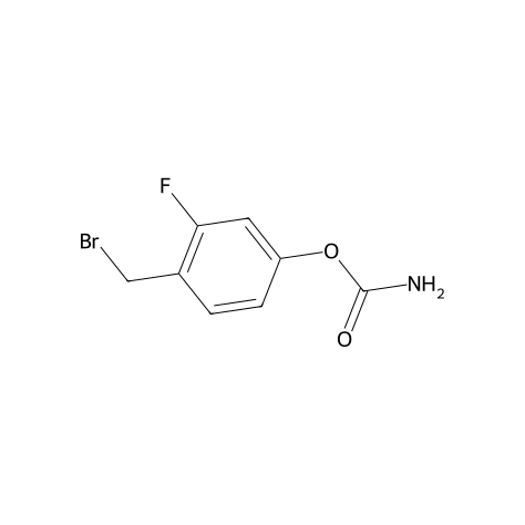 NC(=O)Oc1ccc(CBr)c(F)c1